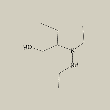 CCNN(CC)C(CC)CO